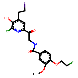 COc1cc(C(=O)NCC(=O)c2cc(CCI)c(O)c(Cl)n2)ccc1OCCF